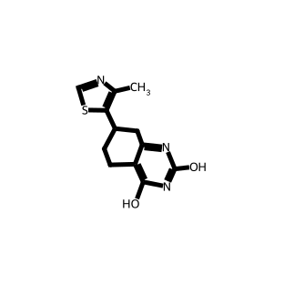 Cc1ncsc1C1CCc2c(O)nc(O)nc2C1